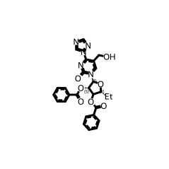 CC[C@H]1O[C@@H](n2cc(CO)c(-n3cncn3)nc2=O)[C@@H](OC(=O)c2ccccc2)C1OC(=O)c1ccccc1